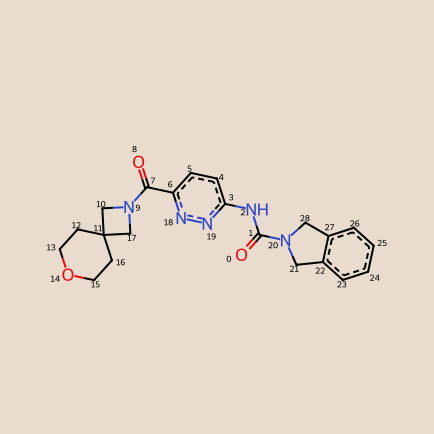 O=C(Nc1ccc(C(=O)N2CC3(CCOCC3)C2)nn1)N1Cc2ccccc2C1